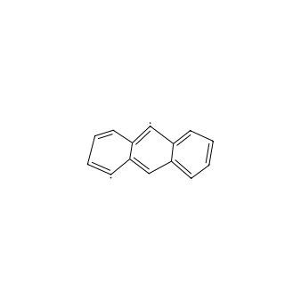 [c]1cccc2[c]c3ccccc3cc12